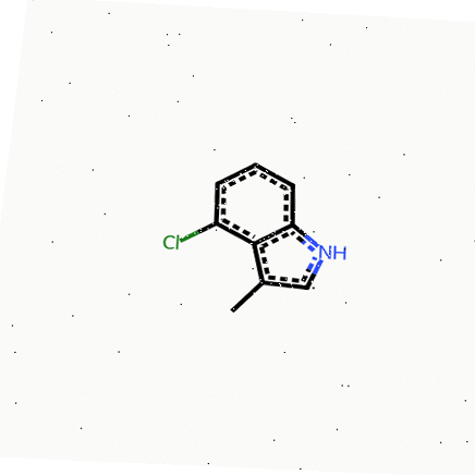 Cc1[c][nH]c2cccc(Cl)c12